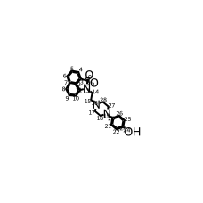 O=S1(=O)c2cccc3cccc(c23)N1CCN1CCN(c2ccc(O)cc2)CC1